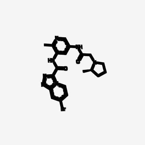 Cc1ncc(NC(=O)CN2CCC[C@H]2C)cc1NC(=O)c1nnc2cc(Br)ccn12